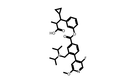 COc1cc(-c2ccc(C(=O)Oc3cccc(C(C4CC4)C(C)C(=O)O)c3)cc2CN(C(C)C)C(C)C)c(F)cn1